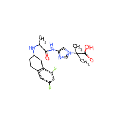 CC(NC1CCc2cc(F)cc(F)c2C1)C(=O)Nc1cn(C(C)(C)C(=O)O)cn1